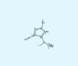 CCc1cc(=O)n(C(C)OC(C)=O)[nH]1